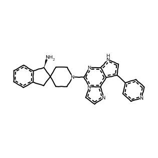 N[C@@H]1c2ccccc2CC12CCN(c1nc3[nH]cc(-c4ccncc4)c3c3nccn13)CC2